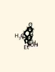 CC[C@@H](O)[C@H]1CC[C@@H]2[C@H]3[C@H](CC[C@@]21C)[C@H]1CCC(=O)C=C1C[C@H]3C